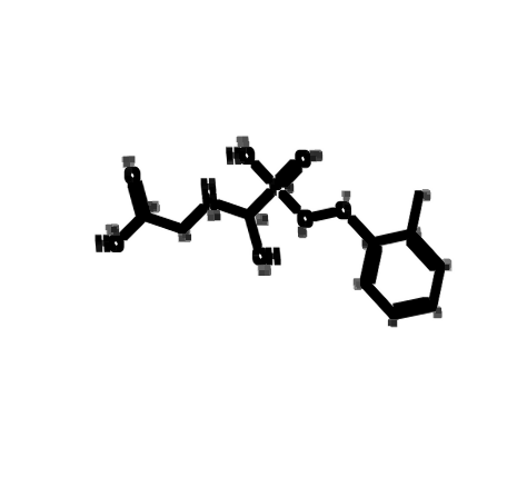 Cc1ccccc1OOP(=O)(O)C(O)NCC(=O)O